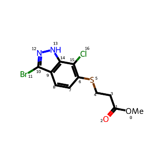 COC(=O)CCSc1ccc2c(Br)n[nH]c2c1Cl